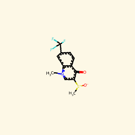 Cn1cc([S+](C)[O-])c(=O)c2ccc(C(F)(F)F)cc21